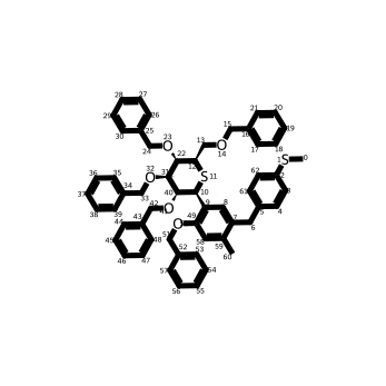 CSc1ccc(Cc2cc([C@@H]3S[C@H](COCc4ccccc4)[C@@H](OCc4ccccc4)[C@H](OCc4ccccc4)[C@H]3OCc3ccccc3)c(OCc3ccccc3)cc2C)cc1